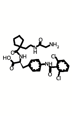 NCC(=O)NCCC1(C(=O)N[C@@H](Cc2ccc(NC(=O)c3c(Cl)cccc3Cl)cc2)C(=O)O)CCCC1